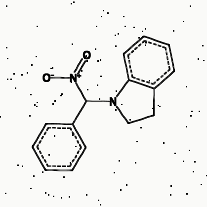 O=[N+]([O-])C(c1ccccc1)N1CCc2ccccc21